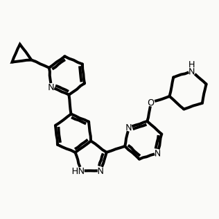 c1cc(-c2ccc3[nH]nc(-c4cncc(OC5CCCNC5)n4)c3c2)nc(C2CC2)c1